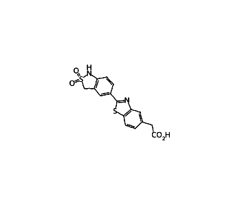 O=C(O)Cc1ccc2sc(-c3ccc4c(c3)CS(=O)(=O)N4)nc2c1